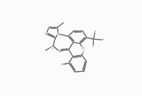 Cc1cnc2n1-c1ccc(C(F)(F)F)c(Cl)c1C(c1c(F)cccc1F)=N[C@H]2C